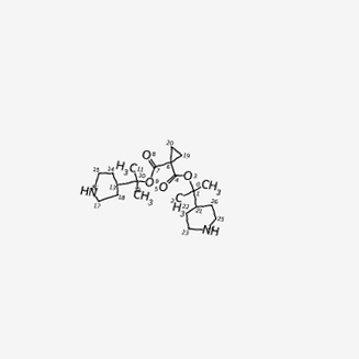 CC(C)(OC(=O)C1(C(=O)OC(C)(C)C2CCNCC2)CC1)C1CCNCC1